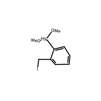 CO[SiH](OC)c1ccccc1CI